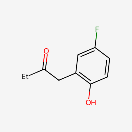 CCC(=O)Cc1cc(F)ccc1O